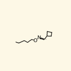 CCCCCO/N=[C]/C1CCC1